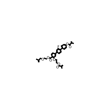 C=C(C)COCCOC(=O)c1ccc(-c2ccc(-c3ccc(OC(=O)C(=C)C)cc3)c(F)c2)cc1OCCOC(=O)C(=C)C